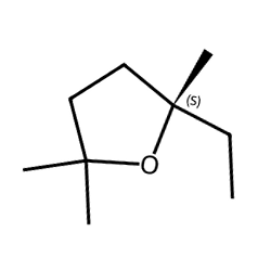 CC[C@@]1(C)CCC(C)(C)O1